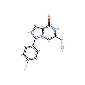 O=c1[nH]c(CCl)cn2c(-c3ccc(F)cc3)ncc12